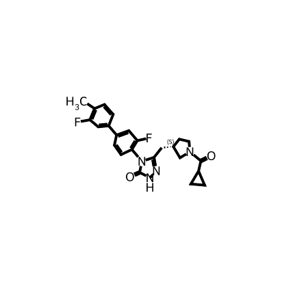 Cc1ccc(-c2ccc(-n3c(C[C@@H]4CCN(C(=O)C5CC5)C4)n[nH]c3=O)c(F)c2)cc1F